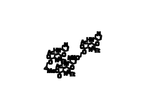 CCn1nc(C(=O)OC)c(C(C)=O)c(Nc2cccnc2)c1=O.CCn1nc(C(=O)OCC2CC2)c(C(C)=O)c(Nc2cccnc2)c1=O.CCn1nc(C(=O)OCCOC)c(C(C)=O)c(Nc2cccnc2)c1=O